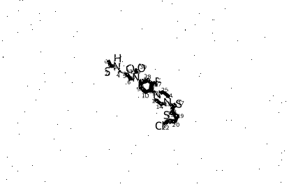 CC(=S)NC[C@H]1CN(c2ccc(N3CCN(C(=S)c4ccc(Cl)s4)CC3)c(F)c2)C(=O)O1